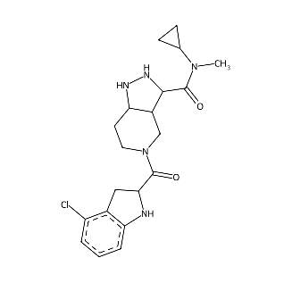 CN(C(=O)C1NNC2CCN(C(=O)C3Cc4c(Cl)cccc4N3)CC21)C1CC1